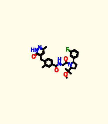 COC(C)(C)C1CC[C@@H](c2cccc(F)c2)N1C(=O)CNC(=O)c1ccc(Cc2cc(C)n[nH]c2=O)c(C)c1